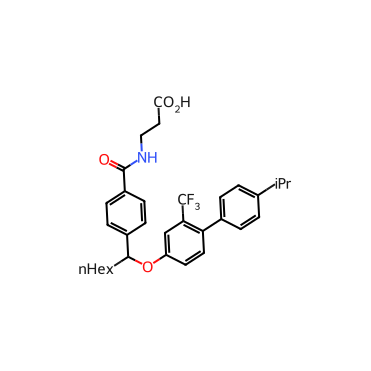 CCCCCCC(Oc1ccc(-c2ccc(C(C)C)cc2)c(C(F)(F)F)c1)c1ccc(C(=O)NCCC(=O)O)cc1